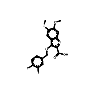 COc1cc2sc(C(=O)O)c(OCc3ccc(F)c(F)c3)c2cc1OC